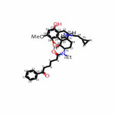 CCN(C(=O)CCCCC(=O)c1ccccc1)[C@@H]1CC[C@H]2[C@H]3Cc4c(O)cc(OC)c5c4[C@@]2(CCN3CC2CC2)[C@H]1O5